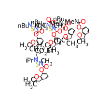 CCCCN(CCCC)SN(C)C(=O)Oc1cccc2c1OC(C)(C)C2.CCCCOC(=O)N(C)SN(C)C(=O)Oc1cccc2c1OC(C)(C)C2.CCOC(=O)CCN(SN(C)C(=O)Oc1cccc2c1OC(C)(C)C2)C(C)C.CNC(=O)Oc1cccc2c1OC(C)(C)C2.CNC(=O)Oc1cccc2c1OC(C)C2